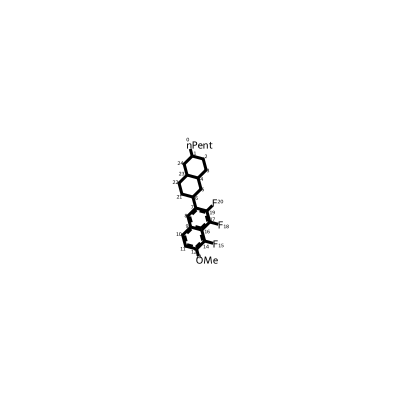 CCCCCC1CCC2CC(c3cc4ccc(OC)c(F)c4c(F)c3F)CCC2C1